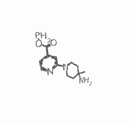 CC1(N)CCN(c2cc(C(=O)OP)ccn2)CC1